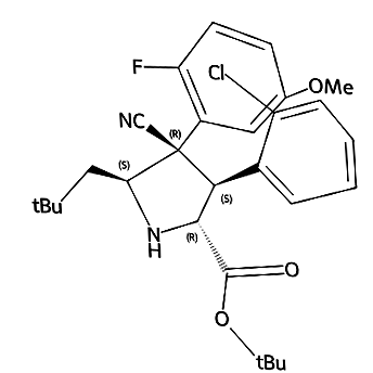 COc1ccc(F)c([C@@]2(C#N)[C@H](CC(C)(C)C)N[C@@H](C(=O)OC(C)(C)C)[C@@H]2c2ccccc2Cl)c1